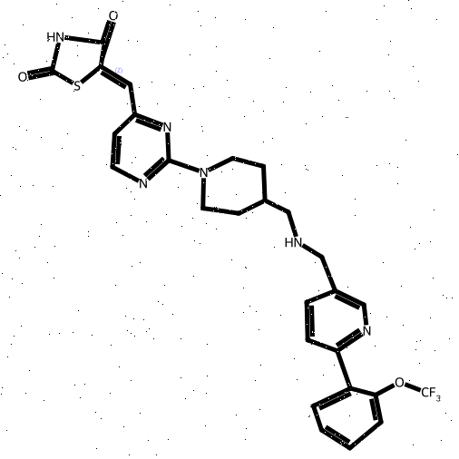 O=C1NC(=O)/C(=C/c2ccnc(N3CCC(CNCc4ccc(-c5ccccc5OC(F)(F)F)nc4)CC3)n2)S1